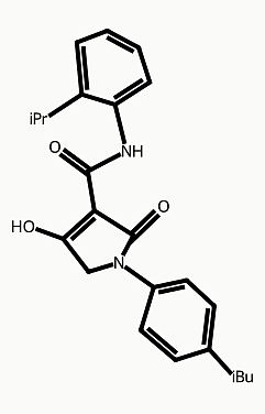 CCC(C)c1ccc(N2CC(O)=C(C(=O)Nc3ccccc3C(C)C)C2=O)cc1